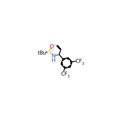 C=C[C@H](N[S+]([O-])C(C)(C)C)c1cc(C(F)(F)F)cc(C(F)(F)F)c1